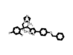 C[C@@H](c1cc(-c2ccc(OCc3ccccc3)cc2)no1)[C@](O)(Cn1cncn1)c1ccc(F)cc1F